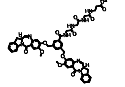 COC(=O)CCNC(=O)CNC(=O)CNC(=O)CNC(=O)c1cc(COc2cc3c(cc2OC)C(=O)N2c4ccccc4C[C@H]2C=N3)cc(COc2cc3c(cc2OC)C(=O)N2c4ccccc4C[C@H]2C=N3)c1